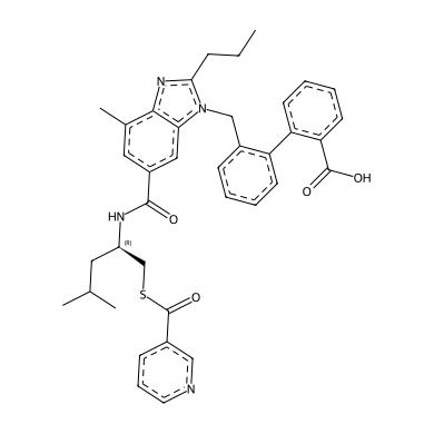 CCCc1nc2c(C)cc(C(=O)N[C@@H](CSC(=O)c3cccnc3)CC(C)C)cc2n1Cc1ccccc1-c1ccccc1C(=O)O